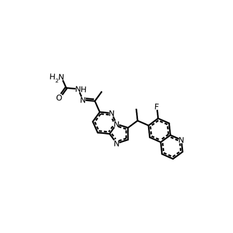 CC(=NNC(N)=O)c1ccc2ncc(C(C)c3cc4cccnc4cc3F)n2n1